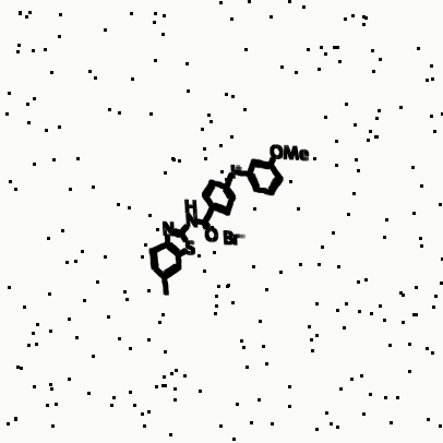 COc1cccc([I+]c2ccc(C(=O)Nc3nc4ccc(C)cc4s3)cc2)c1.[Br-]